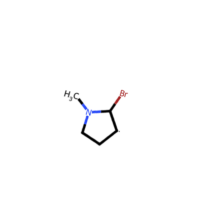 CN1CC[CH]C1Br